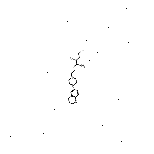 NC(CCCN1CCN(c2ccc3c(c2)CCCO3)CC1)C(Br)CCBr